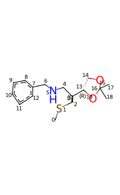 CSC[C@@H](CNCc1ccccc1)[C@@H]1COC(C)(C)O1